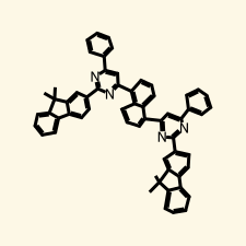 CC1(C)c2ccccc2-c2ccc(-c3nc(-c4ccccc4)cc(-c4cccc5c(-c6cc(-c7ccccc7)nc(-c7ccc8c(c7)C(C)(C)c7ccccc7-8)n6)cccc45)n3)cc21